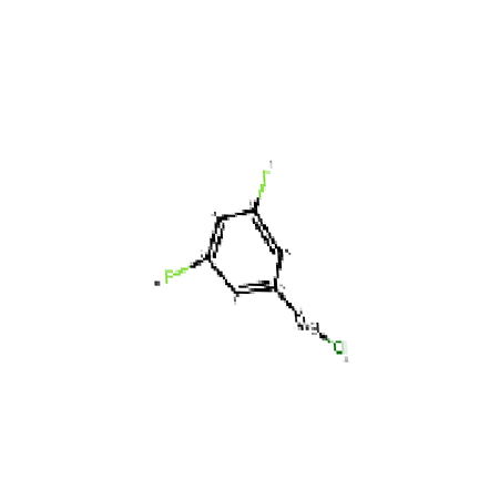 Fc1cc(F)c[c]([Mg][Cl])c1